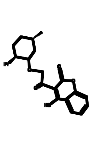 CC(C)[C@H]1CC[C@H](C)CC1OCC(=O)c1c(O)c2ccccc2oc1=O